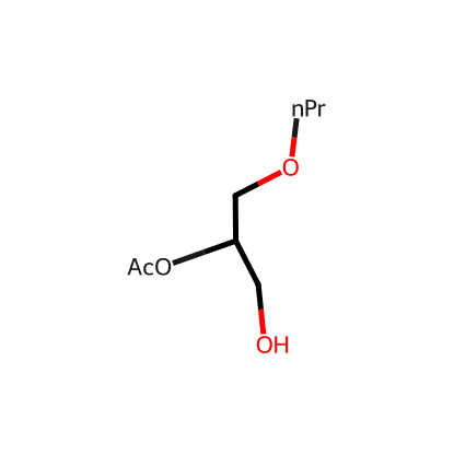 CCCOCC(CO)OC(C)=O